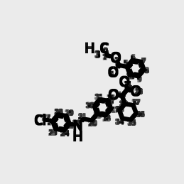 CCOC(=O)c1ccccc1OC(=O)C(Oc1ccc(CCNc2ccc(Cl)cc2)cc1)C1CCCCC1